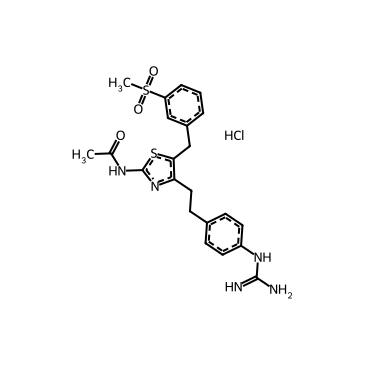 CC(=O)Nc1nc(CCc2ccc(NC(=N)N)cc2)c(Cc2cccc(S(C)(=O)=O)c2)s1.Cl